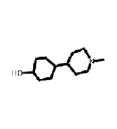 CN1CCC(C2CCC(O)CC2)CC1